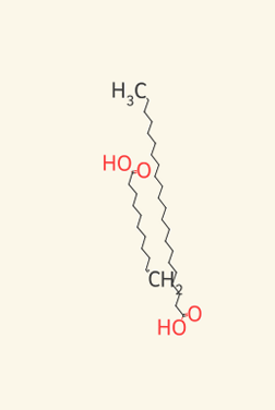 C=CCCCCCCCCC(=O)O.CCCCCCCCCCCCCCCCCCCCCC(=O)O